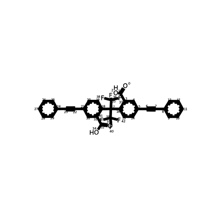 O=C(O)c1cc(C#Cc2ccccc2)ccc1C(c1ccc(C#Cc2ccccc2)cc1C(=O)O)(C(F)(F)F)C(F)(F)F